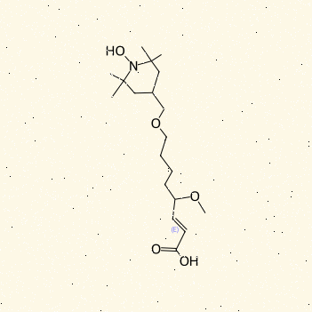 COC(/C=C/C(=O)O)CCCCOCC1CC(C)(C)N(O)C(C)(C)C1